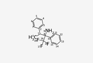 CC(c1ccccc1)C(N)(c1ccccc1)C(F)(F)F